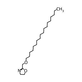 CCCCCCCCCCCCCCCCCCOCC1=NCCO1